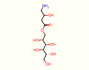 NCC(O)CC(=O)OC[C@H](O)[C@@H](O)[C@H](O)[C@H](O)CO